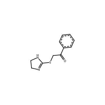 O=C(CSC1=NCCN1)c1ccccc1